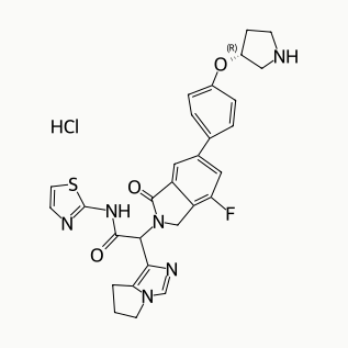 Cl.O=C(Nc1nccs1)C(c1ncn2c1CCC2)N1Cc2c(F)cc(-c3ccc(O[C@@H]4CCNC4)cc3)cc2C1=O